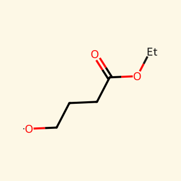 CCOC(=O)CCC[O]